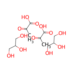 CC(=O)C(=O)O.CC(=O)C(=O)O.OCC(O)CO.OCC(O)CO